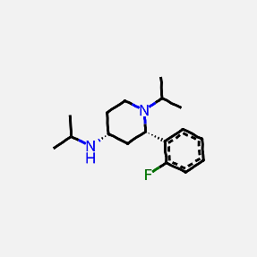 CC(C)N[C@@H]1CCN(C(C)C)[C@H](c2ccccc2F)C1